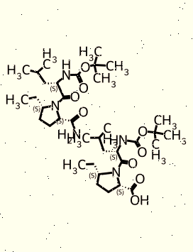 CC[C@H]1CC[C@@H](C(=O)O)N1C(=O)[C@H](CC(C)C)NC(=O)OC(C)(C)C.CC[C@H]1CC[C@@H](C(N)=O)N1C(=O)[C@H](CC(C)C)NC(=O)OC(C)(C)C